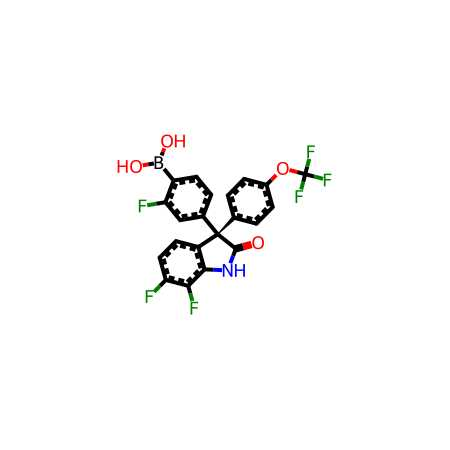 O=C1Nc2c(ccc(F)c2F)[C@]1(c1ccc(OC(F)(F)F)cc1)c1ccc(B(O)O)c(F)c1